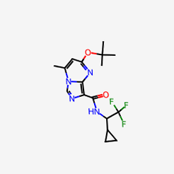 Cc1cc(OC(C)(C)C)nc2c(C(=O)NC(C3CC3)C(F)(F)F)ncn12